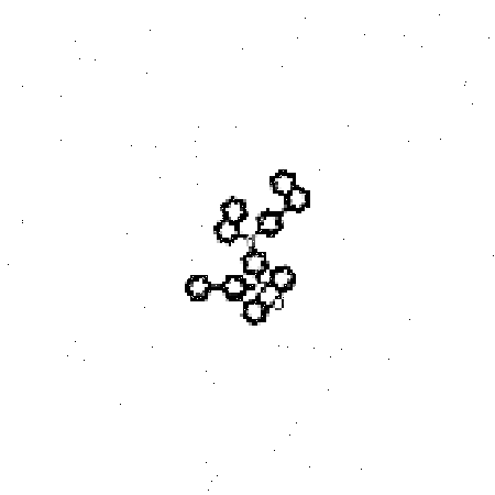 c1ccc(-c2ccc([Si]3(c4ccc(N(c5ccc(-c6cccc7ccccc67)cc5)c5cccc6ccccc56)cc4)c4ccccc4Oc4ccccc43)cc2)cc1